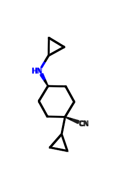 N#C[C@]1(C2CC2)CC[C@H](NC2CC2)CC1